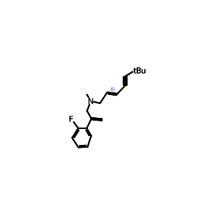 C=C(CN(C)C/C=C/C#CC(C)(C)C)c1ccccc1F